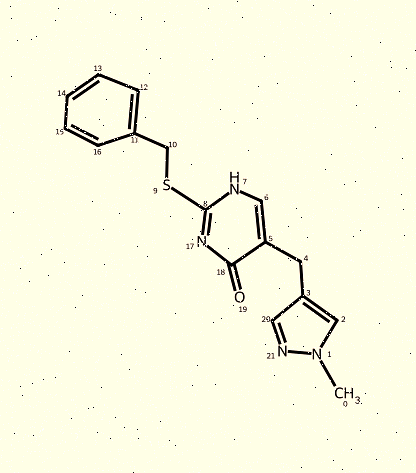 Cn1cc(Cc2c[nH]c(SCc3ccccc3)nc2=O)cn1